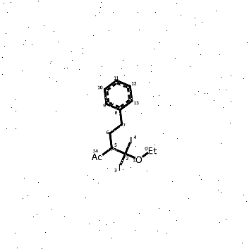 CCOC(I)(I)C(CCc1ccccc1)C(C)=O